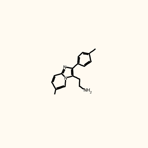 Cc1ccc(-c2nc3ccc(C)cn3c2CCN)cc1